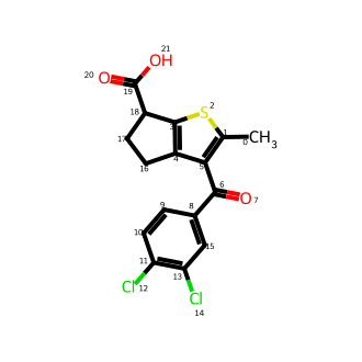 Cc1sc2c(c1C(=O)c1ccc(Cl)c(Cl)c1)CCC2C(=O)O